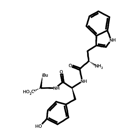 CC[C@H](C)[C@H](NC(=O)[C@H](Cc1ccc(O)cc1)NC(=O)[C@@H](N)Cc1c[nH]c2ccccc12)C(=O)O